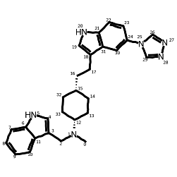 CN(Cc1c[nH]c2ccccc12)[C@H]1CC[C@@H](CCc2c[nH]c3ccc(-n4cnnc4)cc23)CC1